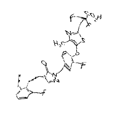 Cc1nc(C(F)(F)C(=O)O)sc1Oc1ccc(-n2ncn(Cc3c(F)cccc3F)c2=O)cc1F